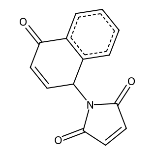 O=C1C=CC(N2C(=O)C=CC2=O)c2ccccc21